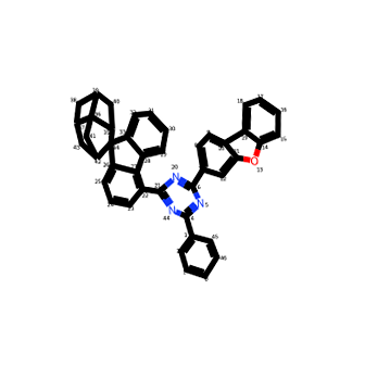 c1ccc(-c2nc(-c3ccc4c(c3)oc3ccccc34)nc(-c3cccc4c3-c3ccccc3C43C4CC5CC(C4)CC3C5)n2)cc1